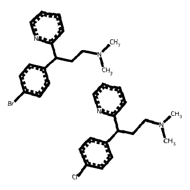 CN(C)CCC(c1ccc(Br)cc1)c1ccccn1.CN(C)CCC(c1ccc(Cl)cc1)c1ccccn1